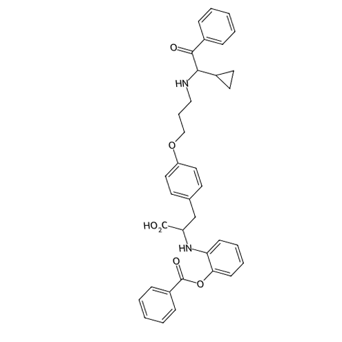 O=C(Oc1ccccc1NC(Cc1ccc(OCCCNC(C(=O)c2ccccc2)C2CC2)cc1)C(=O)O)c1ccccc1